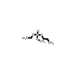 [Li][Si](OC)(OCC)OCCC